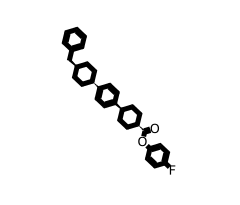 O=C(Oc1ccc(F)cc1)[C@H]1CC[C@H](c2ccc([C@H]3CC[C@H](Cc4ccccc4)CC3)cc2)CC1